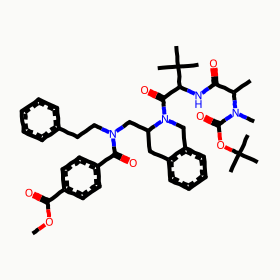 COC(=O)c1ccc(C(=O)N(CCc2ccccc2)CC2Cc3ccccc3CN2C(=O)C(NC(=O)C(C)N(C)C(=O)OC(C)(C)C)C(C)(C)C)cc1